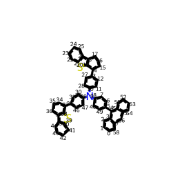 c1ccc2c(-c3ccc(N(c4ccc(-c5cccc6c5sc5ccccc56)cc4)c4ccc(-c5cccc6c5sc5ccccc56)cc4)cc3)c3ccccc3cc2c1